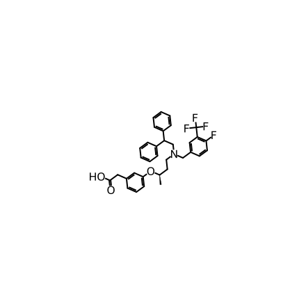 C[C@H](CCN(Cc1ccc(F)c(C(F)(F)F)c1)CC(c1ccccc1)c1ccccc1)Oc1cccc(CC(=O)O)c1